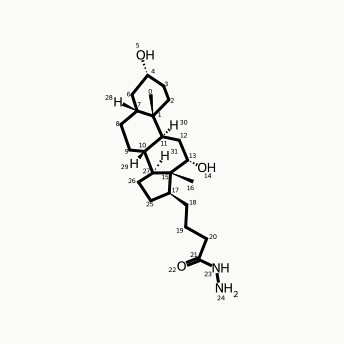 C[C@]12CC[C@@H](O)C[C@H]1CC[C@@H]1[C@@H]2C[C@H](O)[C@]2(C)[C@@H](CCCC(=O)NN)CC[C@@H]12